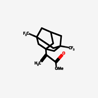 C=C(C(=O)OC)C12CC3CC(C(F)(F)F)(C1)CC(C(F)(F)F)(C3)C2